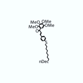 CCCCCCCCCCCCCCCCCCSc1ccc(/C=C/C(=O)c2cc(OC)c(OC)c(OC)c2OC)cc1